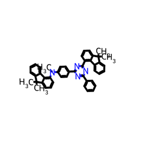 CN(c1ccc(-c2nc(-c3ccccc3)nc(-c3cccc4c3-c3ccccc3C4(C)C)n2)cc1)c1cccc2c1-c1ccccc1C2(C)C